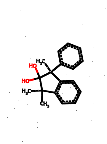 CC1(C)c2ccccc2C(C)(c2ccccc2)C1(O)O